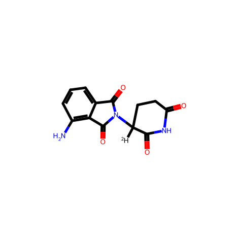 [2H]C1(N2C(=O)c3cccc(N)c3C2=O)CCC(=O)NC1=O